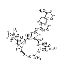 C[C@H]1CC/C=C\[C@@H]2C[C@@]2(C(=O)NS(=O)(=O)C2(C)CC2)NC(=O)[C@@H]2C[C@@H](Oc3nccc4c5c(ccc34)N(C)CCO5)CN2C(=O)[C@@H](NC(=O)OC(C)(C)C)[C@H](C)C1